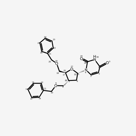 O=c1ccn([C@@H]2C[C@H](COCc3ccccc3)[C@@H](COCc3ccccc3)O2)c(=O)[nH]1